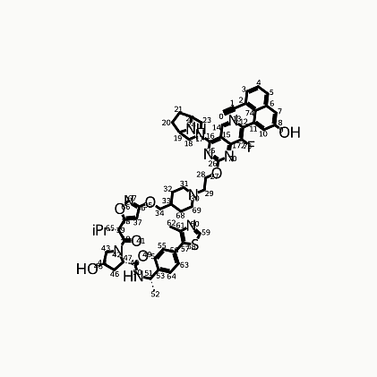 C#Cc1cccc2cc(O)cc(-c3ncc4c(N5CC6CCC(C5)N6)nc(OCCN5CCC(COc6cc([C@H](C(=O)N7C[C@H](O)C[C@H]7C(=O)N[C@@H](C)c7ccc(-c8scnc8C)cc7)C(C)C)on6)CC5)nc4c3F)c12